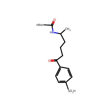 CCCCCCCCCC(=O)NC(C)CCCC(=O)c1ccc(S(=O)(=O)O)cc1